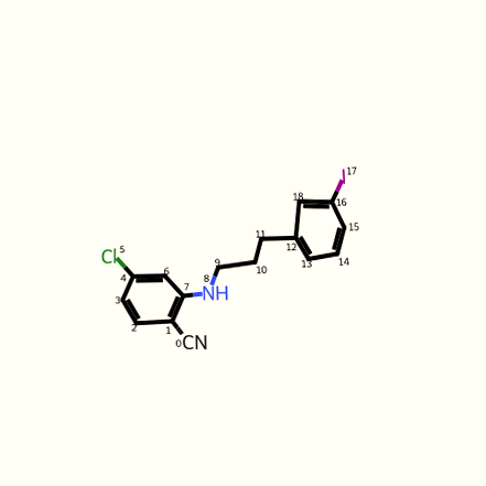 N#Cc1ccc(Cl)cc1NCCCc1cccc(I)c1